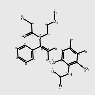 CCC(CC)Nc1c([N+](=O)[O-])cc(C)c(C)c1[N+](=O)[O-].CCOCCN(C(=O)CCl)C(=C(C)C)c1ccccc1